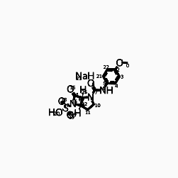 COc1ccc(NC(=O)N2CC[C@@H]3[C@H]2C(=O)N3S(=O)(=O)O)cc1.[NaH]